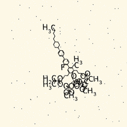 C=C(C)C(=O)OCCCc1cc(-c2ccc(-c3ccc(C4CCC(CCCCC)CC4)cc3)cc2F)c(CC)c(CCCOC(=O)C(=C)C)c1OCC(C)(COC(=O)C(=O)OC)COC(=O)C(=O)OC